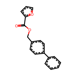 O=C(OCc1ccc(-c2ccccc2)cc1)c1ccco1